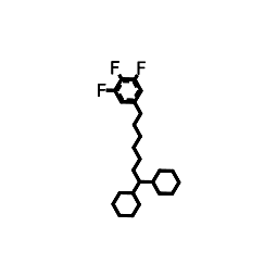 Fc1cc(CCCCCCC(C2CCCCC2)C2CCCCC2)cc(F)c1F